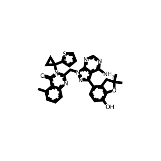 Cc1cccc2nc(Cn3nc(-c4ccc(O)c5c4CC(C)(C)O5)c4c(N)ncnc43)n(C3(c4cccs4)CC3)c(=O)c12